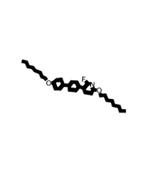 CCCCCCCCOc1ccc(-c2ccc(-c3ccc(OCCCCCCCC)nc3F)cc2)cc1